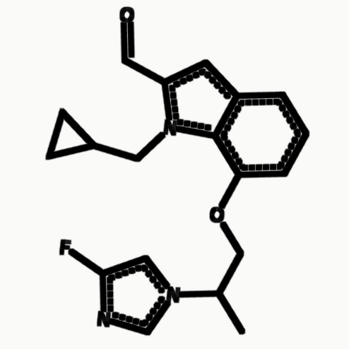 CC(COc1cccc2cc(C=O)n(CC3CC3)c12)n1cnc(F)c1